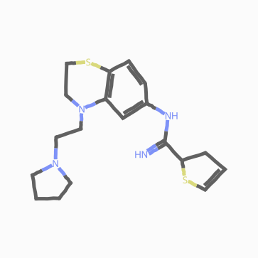 N=C(Nc1ccc2c(c1)N(CCN1CCCC1)CCS2)C1CC=CS1